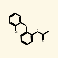 CC(=O)Nc1ccccc1Oc1ccccc1N